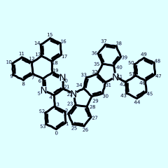 c1ccc(-c2nc3c4ccccc4c4ccccc4c3nc2-n2c3ccccc3c3cc4c(cc32)c2ccccc2n4-c2cccc3ccccc23)cc1